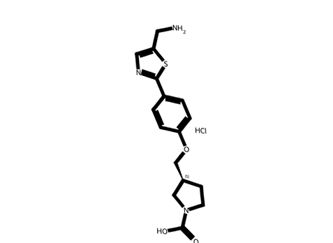 Cl.NCc1cnc(-c2ccc(OC[C@H]3CCN(C(=O)O)C3)cc2)s1